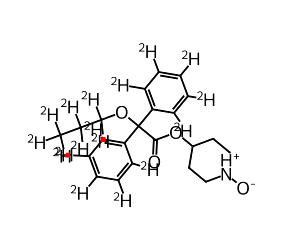 [2H]c1c([2H])c([2H])c(C(OC([2H])([2H])C([2H])([2H])C([2H])([2H])[2H])(C(=O)OC2CC[NH+]([O-])CC2)c2c([2H])c([2H])c([2H])c([2H])c2[2H])c([2H])c1[2H]